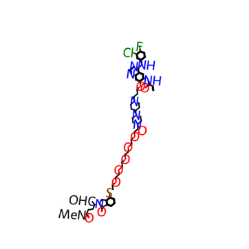 C=CC(=O)Nc1cc2c(Nc3ccc(F)c(Cl)c3)ncnc2cc1OCCCN1CCC(N2CCN(C(=O)COCCOCCOCCOCCOCCSc3cccc4c3CN(C(C=O)CCC(=O)NC)C4=O)CC2)CC1